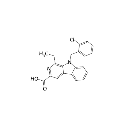 CCc1nc(C(=O)O)cc2c3ccccc3n(Cc3ccccc3Cl)c12